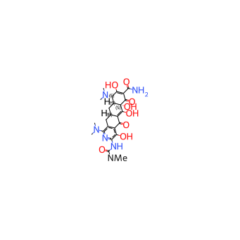 CNC(=O)Nc1nc(N(C)C)c2c(c1O)C(=O)C1=C(O)[C@]3(O)C(=O)C(C(N)=O)=C(O)[C@@H](N(C)C)[C@@H]3C[C@@H]1C2